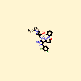 Cc1ccccc1-n1nc(-c2c(-c3ccc(F)cc3F)n[nH]c2NCC2(CO)CN(C(C)C)C2)ccc1=O